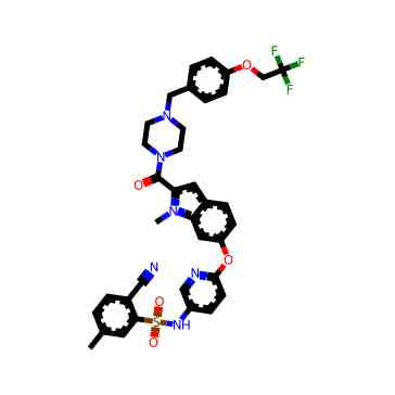 Cc1ccc(C#N)c(S(=O)(=O)Nc2ccc(Oc3ccc4cc(C(=O)N5CCN(Cc6ccc(OCC(F)(F)F)cc6)CC5)n(C)c4c3)nc2)c1